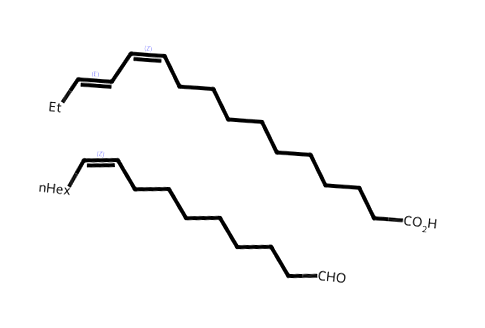 CC/C=C/C=C\CCCCCCCCCC(=O)O.CCCCCC/C=C\CCCCCCCC=O